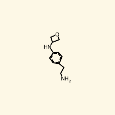 NCCc1ccc(NC2COC2)cc1